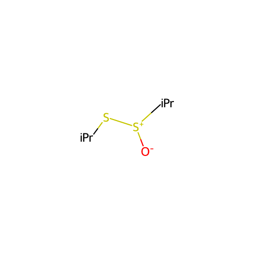 CC(C)S[S+]([O-])C(C)C